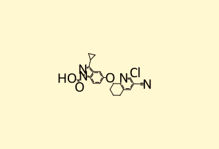 N#Cc1cc2c(nc1Cl)C(Oc1ccc3c(c1)c(C1CC1)nn3C(=O)O)CCC2